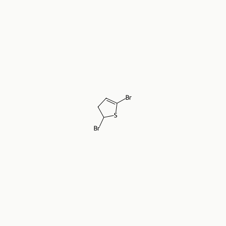 BrC1=CCC(Br)S1